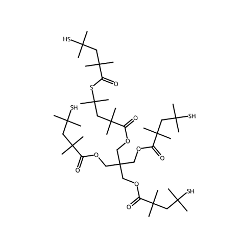 CC(C)(S)CC(C)(C)C(=O)OCC(COC(=O)C(C)(C)CC(C)(C)S)(COC(=O)C(C)(C)CC(C)(C)S)COC(=O)C(C)(C)CC(C)(C)SC(=O)C(C)(C)CC(C)(C)S